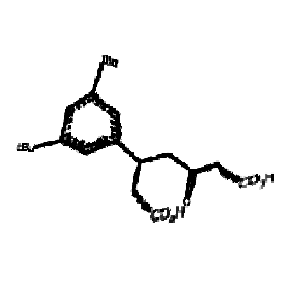 CC(C)(C)c1cc(C(CC(=O)O)CC(=O)CC(=O)O)cc(C(C)(C)C)c1